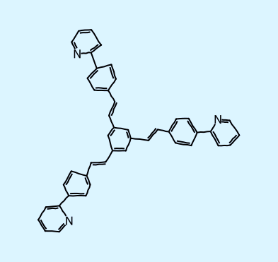 C(=C\c1cc(/C=C/c2ccc(-c3ccccn3)cc2)cc(/C=C/c2ccc(-c3ccccn3)cc2)c1)/c1ccc(-c2ccccn2)cc1